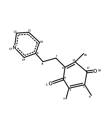 CC1=C(C)C(=O)C(CCc2cccnc2)=C(C)C1=O